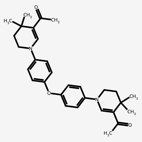 CC(=O)C1=CN(c2ccc(Oc3ccc(N4C=C(C(C)=O)C(C)(C)CC4)cc3)cc2)CCC1(C)C